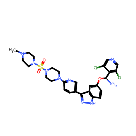 CN1CCN(S(=O)(=O)N2CCN(c3ccc(-c4n[nH]c5ccc(O[C@H](N)c6c(Cl)cncc6Cl)cc45)cn3)CC2)CC1